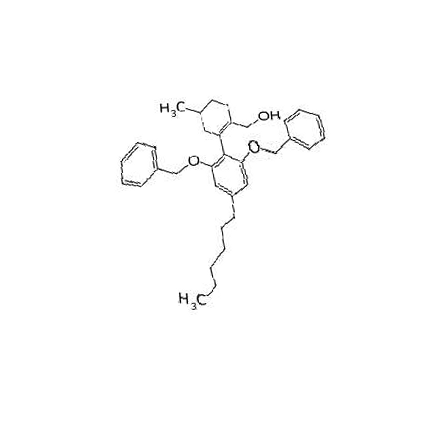 CCCCCCc1cc(OCc2ccccc2)c(C2=C(CO)CCC(C)C2)c(OCc2ccccc2)c1